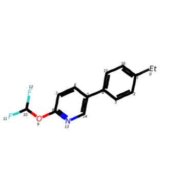 CCc1ccc(-c2ccc(OC(F)F)nc2)cc1